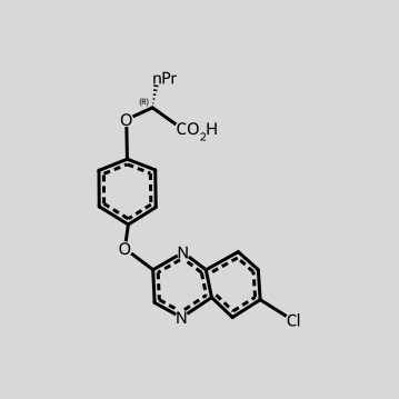 CCC[C@@H](Oc1ccc(Oc2cnc3cc(Cl)ccc3n2)cc1)C(=O)O